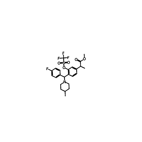 COC(=O)C(C)c1ccc(C(c2ccc(F)cc2)N2CCC(C)CC2)c(OS(=O)(=O)C(F)(F)F)c1